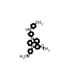 COc1ccc(N(c2ccc(OC)cc2)c2cccc3c2c2ccccc2n3-c2ccc(Nc3ccc(C)cc3)cc2)cc1